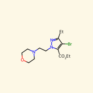 CCOC(=O)c1c(Br)c(CC)nn1CCN1CCOCC1